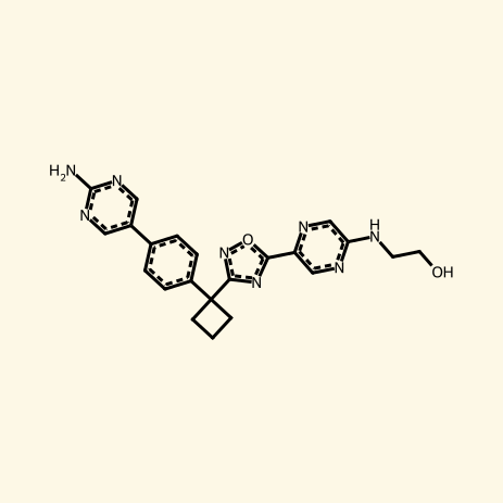 Nc1ncc(-c2ccc(C3(c4noc(-c5cnc(NCCO)cn5)n4)CCC3)cc2)cn1